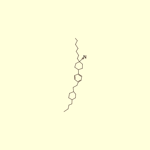 CCCCCCCC1(C#N)CCC(c2ccc(CCC3CCC(CCCC)CC3)cc2)CC1